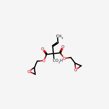 C/C=C/C(C(=O)O)(C(=O)OCC1CO1)C(=O)OCC1CO1